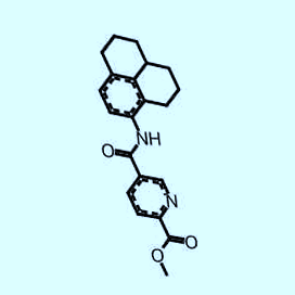 COC(=O)c1ccc(C(=O)Nc2ccc3c4c2CCCC4CCC3)cn1